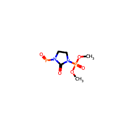 COP(=O)(OC)N1CCN(P=O)C1=O